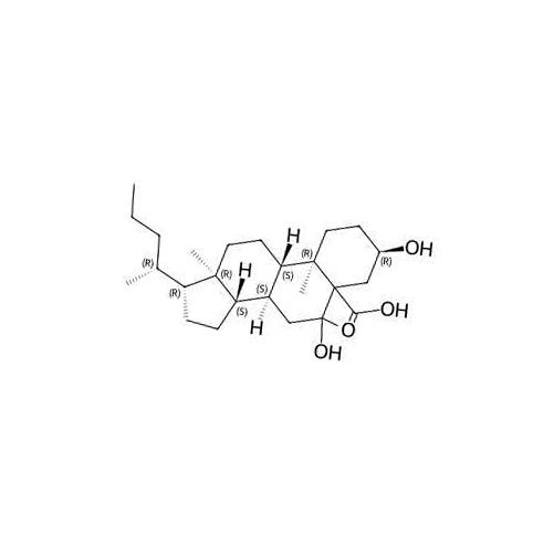 CCC[C@@H](C)[C@H]1CC[C@H]2[C@@H]3CC(C)(O)C4(C(=O)O)C[C@H](O)CC[C@]4(C)[C@H]3CC[C@]12C